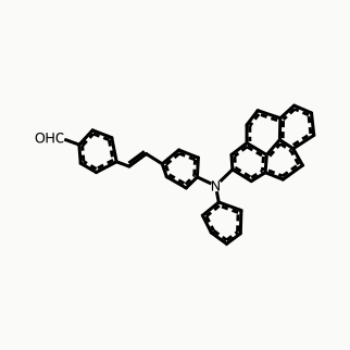 O=Cc1ccc(/C=C/c2ccc(N(c3ccccc3)c3cc4ccc5cccc6ccc(c3)c4c56)cc2)cc1